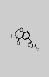 C=Cc1ccc2c(c1)C(=O)NCCO2